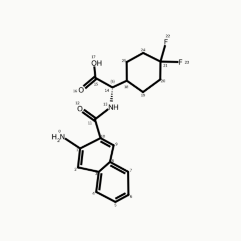 Nc1cc2ccccc2cc1C(=O)N[C@H](C(=O)O)C1CCC(F)(F)CC1